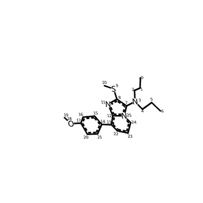 CCCN(CCC)c1c(SC)nc2c(-c3ccc(OC)cc3)cccn12